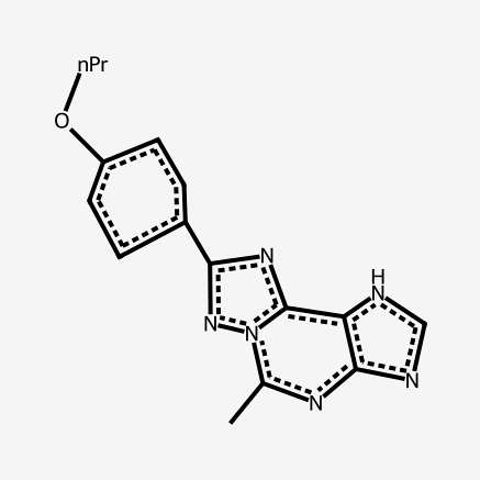 CCCOc1ccc(-c2nc3c4[nH]cnc4nc(C)n3n2)cc1